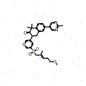 COCC/C=C(\C)CS(=O)(=O)c1cncc(C2Cc3cc(-c4cnc(C)nc4)ccc3C(C)(C)C2=O)c1